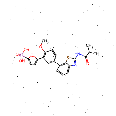 COc1ccc(-c2cccc3nc(NC(=O)C(C)C)sc23)cc1-c1ccc(P(=O)(O)O)o1